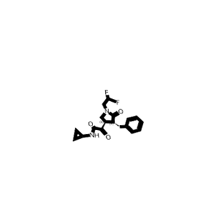 O=C(NC1CC1)C(=O)[C@H]1CN(CC(F)F)C(=O)[C@@H]1Cc1ccccc1